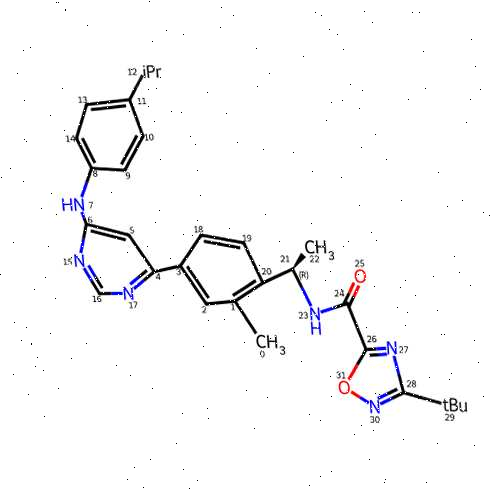 Cc1cc(-c2cc(Nc3ccc(C(C)C)cc3)ncn2)ccc1[C@@H](C)NC(=O)c1nc(C(C)(C)C)no1